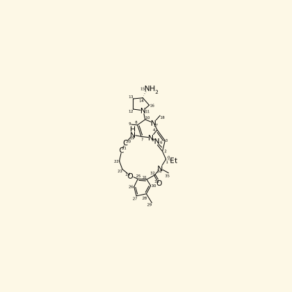 CC[C@H]1c2cc3n(n2)C(=C(C)C(N2CC[C@H](N)C2)N3C)NCCCCOc2ccc(C)cc2C(=O)N1C